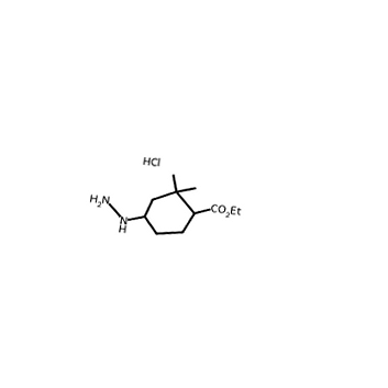 CCOC(=O)C1CCC(NN)CC1(C)C.Cl